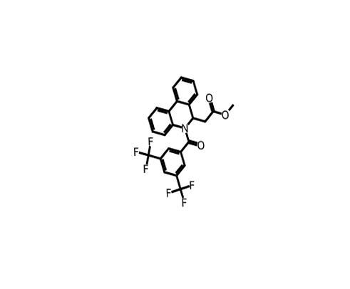 COC(=O)CC1c2ccccc2-c2ccccc2N1C(=O)c1cc(C(F)(F)F)cc(C(F)(F)F)c1